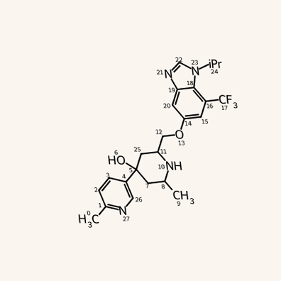 Cc1ccc(C2(O)CC(C)NC(COc3cc(C(F)(F)F)c4c(c3)ncn4C(C)C)C2)cn1